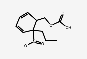 CCCC1([N+](=O)[O-])C=CC=CC1COC(=O)O